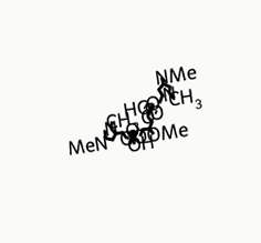 CNC1CC(COP(=O)(O)OCC(COP(=O)(O)OCC2CC(NC)CN2C)OC)N(C)C1